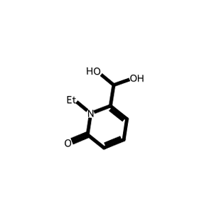 CCn1c(C(O)O)cccc1=O